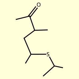 CC(=O)C(C)CC(C)SC(C)C